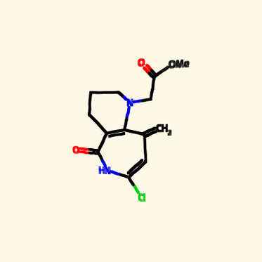 C=C1C=C(Cl)NC(=O)C2=C1N(CC(=O)OC)CCC2